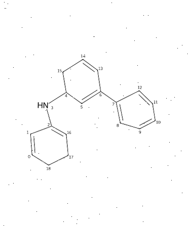 C1=CC(NC2C=C(c3ccccc3)C=CC2)=CCC1